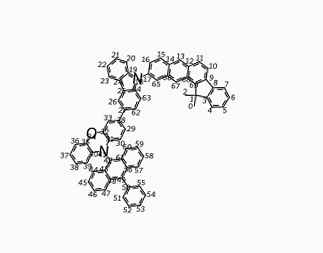 CC1(C)c2ccccc2-c2ccc3cc4ccc(-n5c6ccccc6c6cc(-c7ccc8c(c7)Oc7ccccc7N8c7c8ccccc8c(-c8ccccc8)c8ccccc78)ccc65)cc4cc3c21